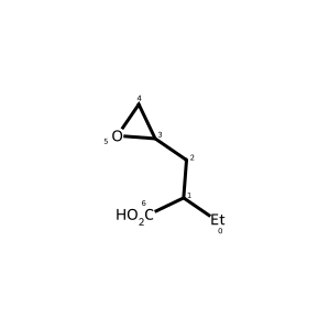 CCC(CC1CO1)C(=O)O